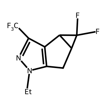 CCn1nc(C(F)(F)F)c2c1CC1C2C1(F)F